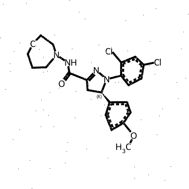 COc1ccc([C@H]2CC(C(=O)NN3CCCCCC3)=NN2c2ccc(Cl)cc2Cl)cc1